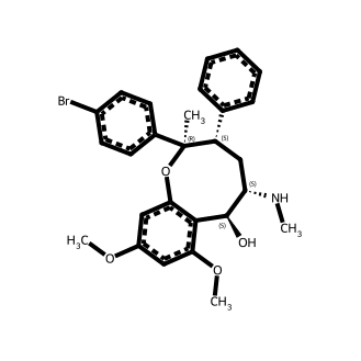 CN[C@H]1C[C@@H](c2ccccc2)[C@](C)(c2ccc(Br)cc2)Oc2cc(OC)cc(OC)c2[C@@H]1O